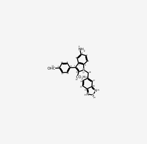 Nc1ccc2c(c1)c(-c1ccc(C=O)cc1)c(C(=O)O)n2Cc1ccc2nsnc2c1